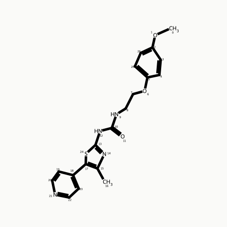 COc1ccc(OCCNC(=O)Nc2nc(C)c(-c3ccncc3)s2)cc1